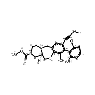 Cc1c2c(cc(C#CSI)c1-c1c(O)cccc1Cl)CN1CCN(C(=O)OC(C)(C)C)C[C@@H]1CO2